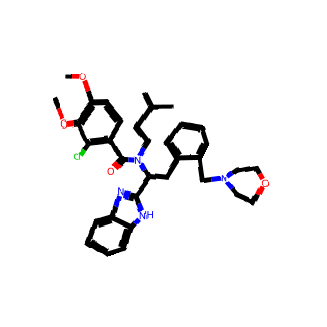 COc1ccc(C(=O)N(CCC(C)C)C(Cc2ccccc2CN2CCOCC2)c2nc3ccccc3[nH]2)c(Cl)c1OC